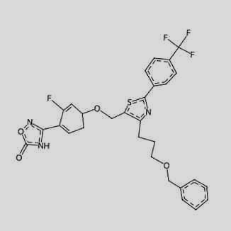 O=c1[nH]c(C2=CCC(OCc3sc(-c4ccc(C(F)(F)F)cc4)nc3CCCOCc3ccccc3)C=C2F)no1